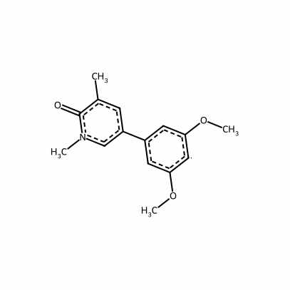 COc1[c]c(OC)cc(-c2cc(C)c(=O)n(C)c2)c1